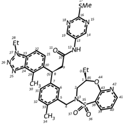 CC[C@@H]1CN(Cc2cc([C@H](CC(=O)Nc3cnc(SC)nc3)c3ccc4c(nnn4CC)c3C)ccc2C)S(=O)(=O)c2cccnc2O1